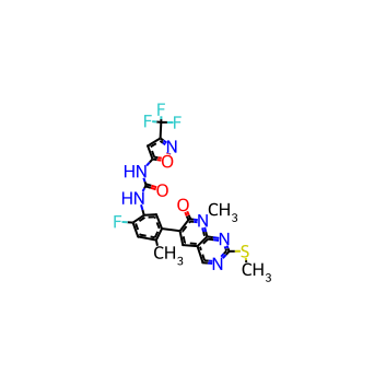 CSc1ncc2cc(-c3cc(NC(=O)Nc4cc(C(F)(F)F)no4)c(F)cc3C)c(=O)n(C)c2n1